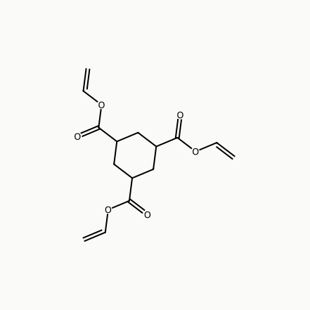 C=COC(=O)C1CC(C(=O)OC=C)CC(C(=O)OC=C)C1